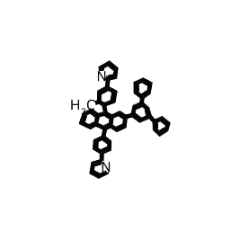 CC1C=C(c2ccccn2)C=CC1c1c2ccccc2c(-c2ccc(-c3ccccn3)cc2)c2ccc(-c3cc(-c4ccccc4)cc(-c4ccccc4)c3)cc12